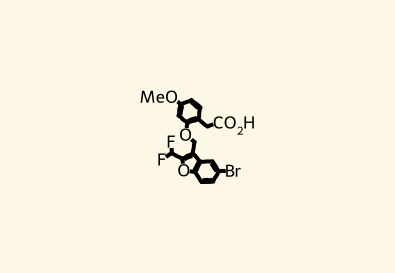 COc1ccc(CC(=O)O)c(OCc2c(C(F)F)oc3ccc(Br)cc23)c1